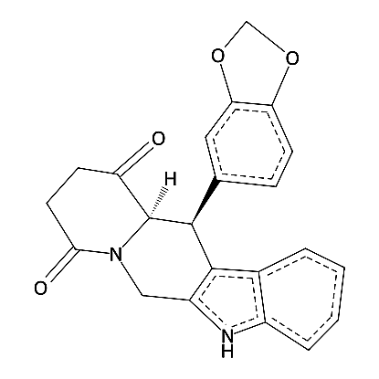 O=C1CCC(=O)N2Cc3[nH]c4ccccc4c3[C@H](c3ccc4c(c3)OCO4)[C@H]12